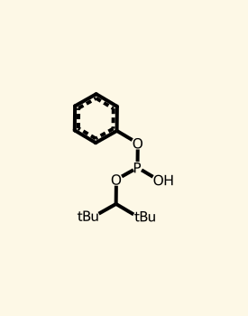 CC(C)(C)C(OP(O)Oc1ccccc1)C(C)(C)C